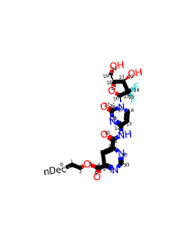 CCCCCCCCCCCCOC(=O)c1cc(C(=O)Nc2ccn([C@@H]3O[C@H](CO)[C@@H](O)C3(F)F)c(=O)n2)ncn1